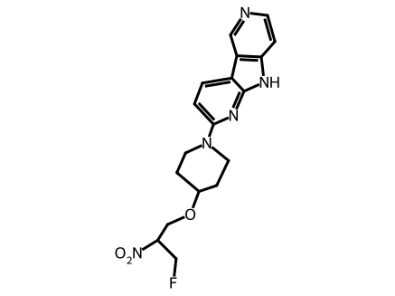 O=[N+]([O-])C(CF)COC1CCN(c2ccc3c(n2)[nH]c2ccncc23)CC1